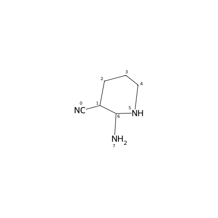 N#CC1CCCNC1N